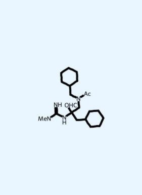 CNC(=N)NC(C=O)(CC1CCCCC1)CN(CC1CCCCC1)C(C)=O